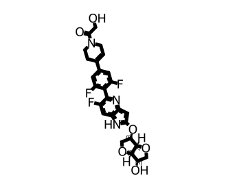 O=C(CO)N1CC=C(c2cc(F)c(-c3nc4cc(O[C@@H]5CO[C@H]6[C@@H]5OC[C@H]6O)[nH]c4cc3F)c(F)c2)CC1